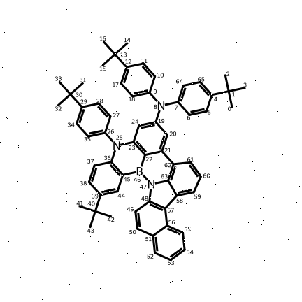 CC(C)(C)c1ccc(N(c2ccc(C(C)(C)C)cc2)c2cc3c4c(c2)N(c2ccc(C(C)(C)C)cc2)c2ccc(C(C)(C)C)cc2B4n2c4ccc5ccccc5c4c4cccc-3c42)cc1